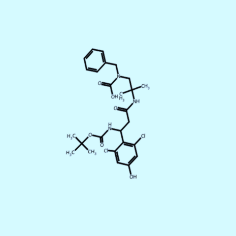 CC(C)(CN(Cc1ccccc1)C(=O)O)NC(=O)CC(NC(=O)OC(C)(C)C)c1c(Cl)cc(O)cc1Cl